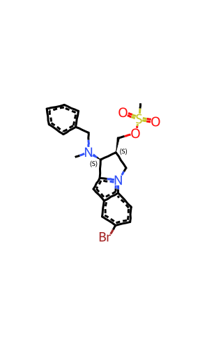 CN(Cc1ccccc1)[C@@H]1c2cc3cc(Br)ccc3n2C[C@@H]1COS(C)(=O)=O